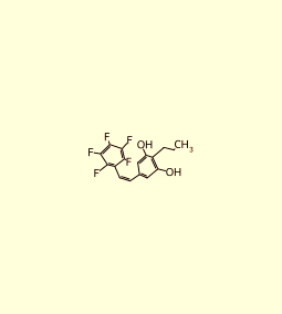 CCCc1c(O)cc(/C=C\c2c(F)c(F)c(F)c(F)c2F)cc1O